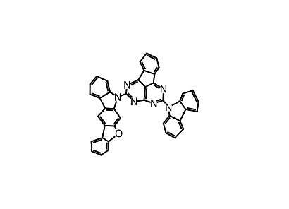 c1ccc2c(c1)-c1nc(-n3c4ccccc4c4ccccc43)nc3nc(-n4c5ccccc5c5cc6c(cc54)oc4ccccc46)nc-2c13